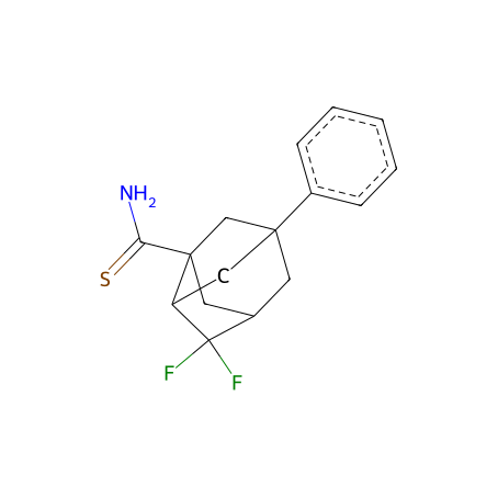 NC(=S)C12CC3CC(c4ccccc4)(CC1C3(F)F)C2